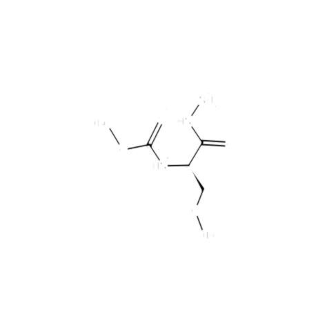 CC(C)(C)OC[C@@H](NC(=O)OC(C)(C)C)C(=O)NN